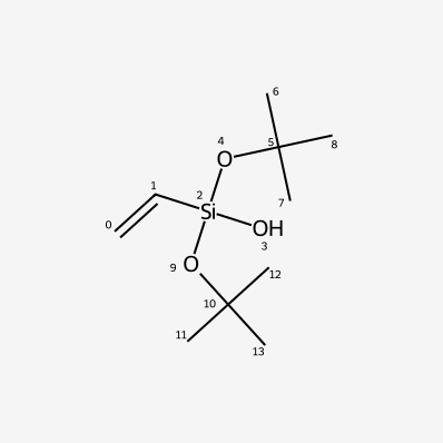 C=C[Si](O)(OC(C)(C)C)OC(C)(C)C